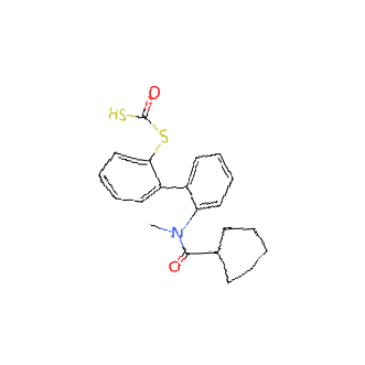 CN(C(=O)C1CCCCC1)c1ccccc1-c1ccccc1SC(=O)S